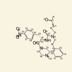 CC(=O)SCCN(CCc1ccccc1)C(=O)N[C@@H](Cc1ccc([N+](=O)[O-])cc1)C(=O)N1CCN(C)CC1